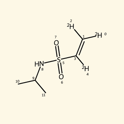 [2H]C([2H])=C([2H])S(=O)(=O)NC(C)C